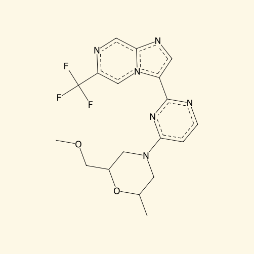 COCC1CN(c2ccnc(-c3cnc4cnc(C(F)(F)F)cn34)n2)CC(C)O1